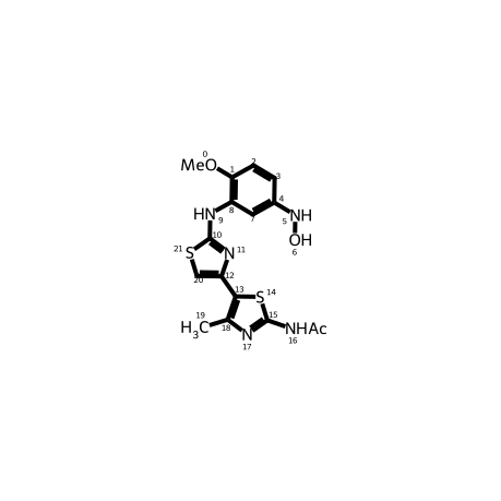 COc1ccc(NO)cc1Nc1nc(-c2sc(NC(C)=O)nc2C)cs1